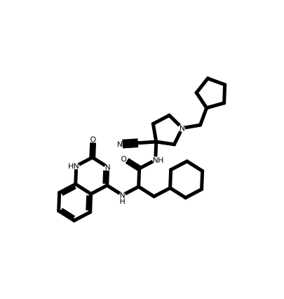 N#CC1(NC(=O)C(CC2CCCCC2)Nc2nc(=O)[nH]c3ccccc23)CCN(CC2CCCC2)C1